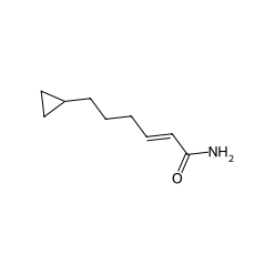 NC(=O)C=CCCCC1CC1